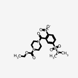 CCOC(=O)N1CCN(C(=O)c2cc(S(=O)(=O)N(C)C)ccc2[N+](=O)[O-])CC1